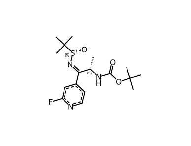 C[C@H](NC(=O)OC(C)(C)C)C(=N[S@+]([O-])C(C)(C)C)c1ccnc(F)c1